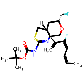 C=C(/C(F)=C\C=C/C)[C@]12CO[C@@H](CF)C[C@H]1CSC(NC(=O)OC(C)(C)C)=N2